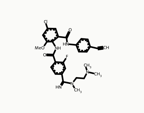 C#Cc1ccc(NC(=O)c2cc(Cl)cc(OC)c2NC(=O)c2ccc(C(=N)N(C)CCN(C)C)cc2F)cc1